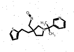 CC(C)(c1cccnc1)N1CCC(CCc2cccs2)(CN=O)C1